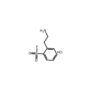 Cl.NCCc1ccccc1S(=O)(=O)F